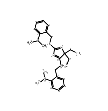 CCC1(CC)N=C(SCc2ccccc2N(C)C)N=C1SCc1ccccc1N(C)C